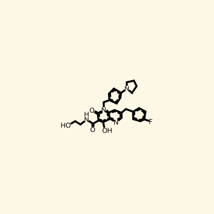 O=C(NCCO)c1c(O)c2ncc(Cc3ccc(F)cc3)cc2n(Cc2ccc(N3CCCC3)cc2)c1=O